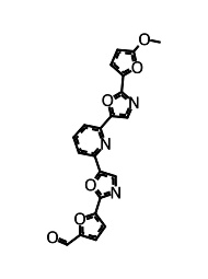 COc1ccc(-c2ncc(-c3cccc(-c4cnc(-c5ccc(C=O)o5)o4)n3)o2)o1